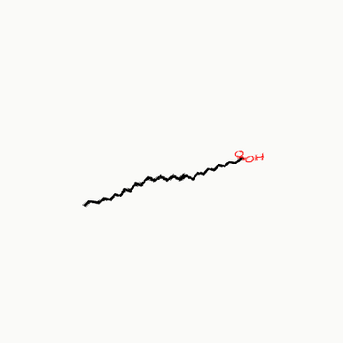 CCCCCCCCCCCCCCCCC=CCCCCCCCCCC(=O)O